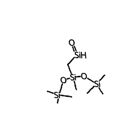 C[Si](C)(C)O[Si](C)(C[SiH]=O)O[Si](C)(C)C